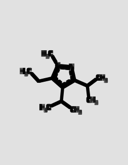 CCc1c(C(C)C)c(C(C)C)nn1C